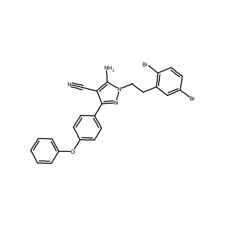 N#Cc1c(-c2ccc(Oc3ccccc3)cc2)nn(CCc2cc(Br)ccc2Br)c1N